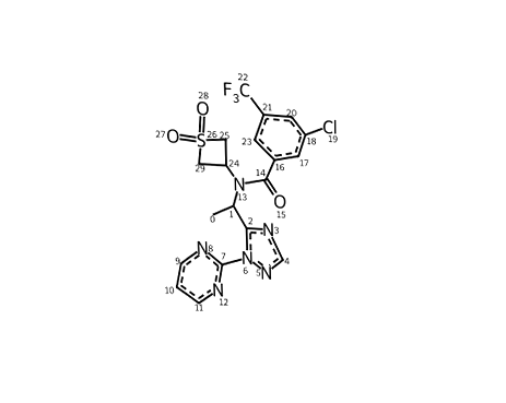 CC(c1ncnn1-c1ncccn1)N(C(=O)c1cc(Cl)cc(C(F)(F)F)c1)C1CS(=O)(=O)C1